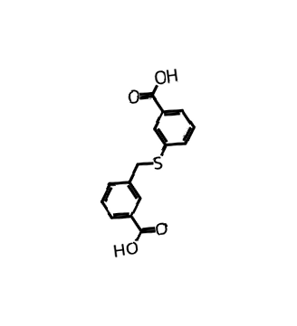 O=C(O)c1cccc(CSc2cccc(C(=O)O)c2)c1